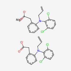 C=CCN(c1ccccc1CC(=O)[O-])c1c(Cl)cccc1Cl.C=CCN(c1ccccc1CC(=O)[O-])c1c(Cl)cccc1Cl.[Mg+2]